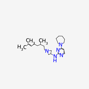 CC(C)=CCCC(C)CCN1CC(Nc2nccc(N3CCCCCC3)n2)C1